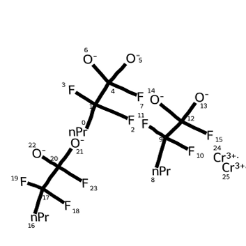 CCCC(F)(F)C([O-])([O-])F.CCCC(F)(F)C([O-])([O-])F.CCCC(F)(F)C([O-])([O-])F.[Cr+3].[Cr+3]